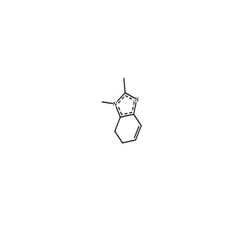 Cc1nc2c(n1C)CCC=C2